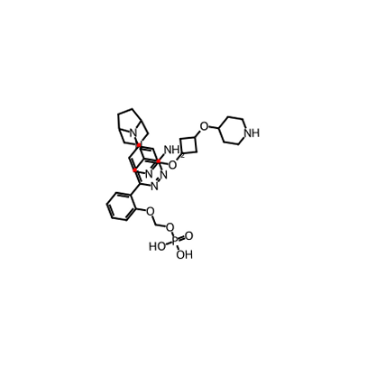 Nc1nnc(-c2ccccc2OCOP(=O)(O)O)cc1N1CC2CCC(C1)N2c1ccnc(OC2CC(OC3CCNCC3)C2)c1